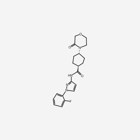 O=C1COCCN1[C@H]1CC[C@H](C(=O)Nc2ccn(-c3ccccc3F)n2)CC1